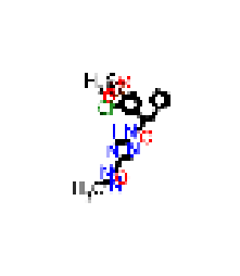 Cc1noc(-c2cnc(NC(=O)C(CC3CCCC3)c3ccc(S(C)(=O)=O)c(Cl)c3)cn2)n1